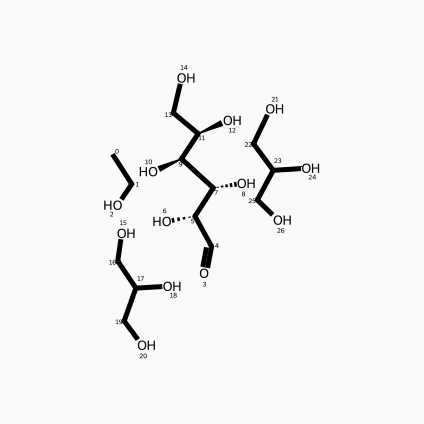 CCO.O=C[C@H](O)[C@@H](O)[C@@H](O)[C@H](O)CO.OCC(O)CO.OCC(O)CO